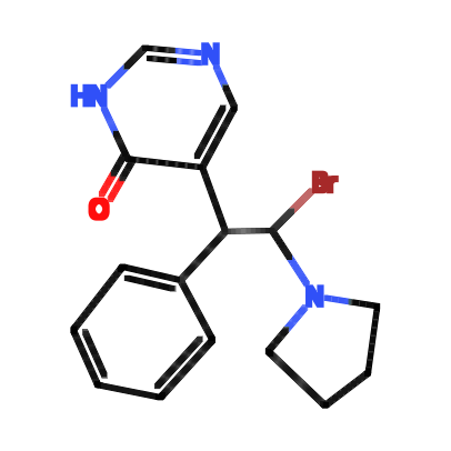 O=c1[nH]cncc1C(c1ccccc1)C(Br)N1CCCC1